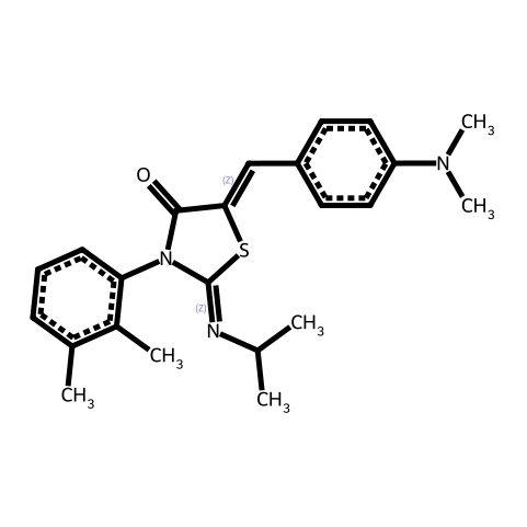 Cc1cccc(N2C(=O)/C(=C/c3ccc(N(C)C)cc3)S/C2=N\C(C)C)c1C